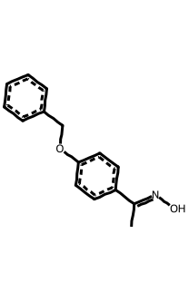 CC(=NO)c1ccc(OCc2ccccc2)cc1